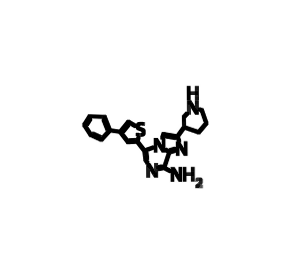 Nc1ncc(-c2cc(-c3ccccc3)cs2)n2cc(C3CCCNC3)nc12